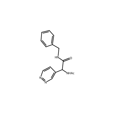 CC(=O)NC(C(=O)NCc1ccccc1)c1ccnnc1